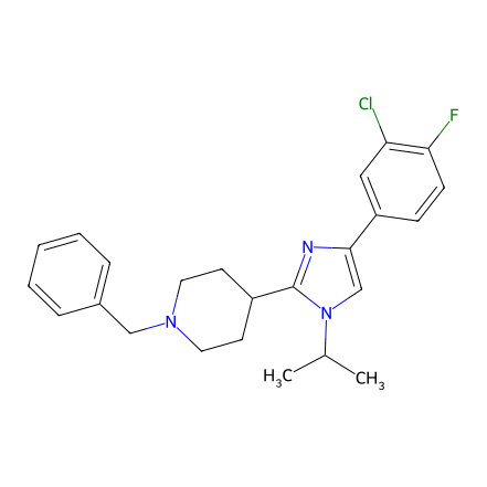 CC(C)n1cc(-c2ccc(F)c(Cl)c2)nc1C1CCN(Cc2ccccc2)CC1